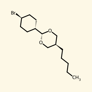 CCCCC[C@H]1CO[C@H]([C@H]2CC[C@H](Br)CC2)OC1